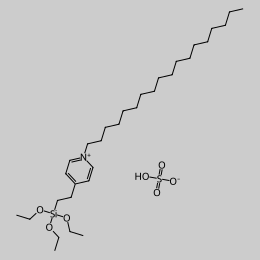 CCCCCCCCCCCCCCCCCC[n+]1ccc(CC[Si](OCC)(OCC)OCC)cc1.O=S(=O)([O-])O